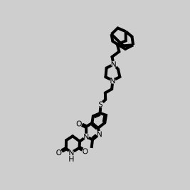 Cc1nc2ccc(SCCCN3CCN(CCC45CC6CC(CC(C6)C4)C5)CC3)cc2c(=O)n1C1CCC(=O)NC1=O